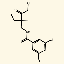 CCC(C)(CNC(=O)c1cc(Cl)cc(Cl)c1)C(=O)CCl